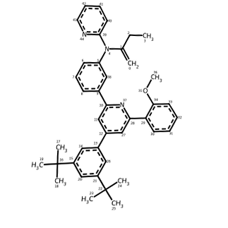 C=C(CC)N(c1cccc(-c2cc(-c3cc(C(C)(C)C)cc(C(C)(C)C)c3)cc(-c3ccccc3OC)n2)c1)c1ccccn1